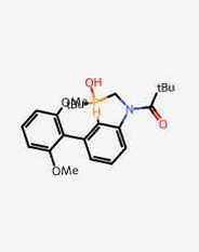 COc1cccc(OC)c1-c1cccc2c1[PH](O)(C(C)(C)C)CN2C(=O)C(C)(C)C